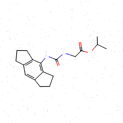 CC(C)OC(=O)CNC(=O)Nc1c2c(cc3c1CCC3)CCC2